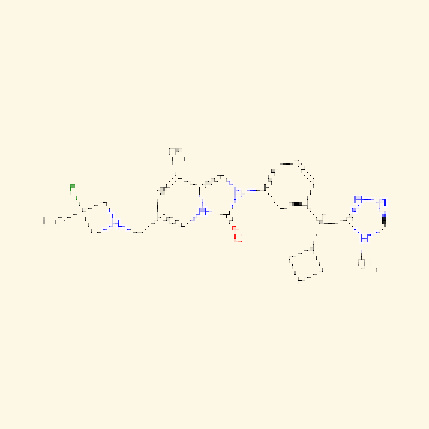 Cn1cnnc1[C@@H](c1cccc(-n2cc3c(C(F)(F)F)cc(CN4CC(C)(F)C4)cn3c2=O)c1)C1CCC1